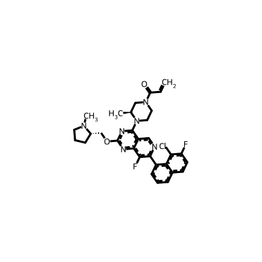 C=CC(=O)N1CCN(c2nc(OC[C@@H]3CCCN3C)nc3c(F)c(-c4cccc5ccc(F)c(Cl)c45)ncc23)[C@@H](C)C1